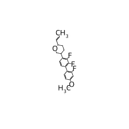 C/C=C/C1CCC(c2ccc(-c3ccc(OC)cc3F)c(F)c2F)CO1